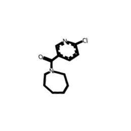 O=C(c1ccc(Cl)nc1)N1CCCCCC1